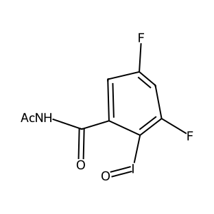 CC(=O)NC(=O)c1cc(F)cc(F)c1I=O